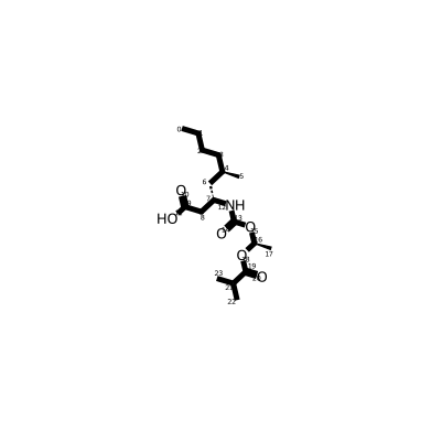 CCCC[C@@H](C)C[C@@H](CC(=O)O)NC(=O)O[C@@H](C)OC(=O)C(C)C